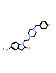 Cc1ccc2c(c1)CC(=O)N2CCN1CCN(Cc2ccc(F)cc2)CC1